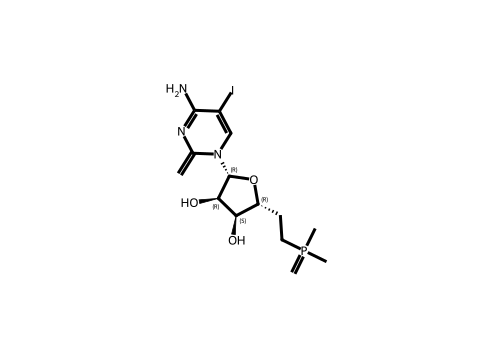 C=C1N=C(N)C(I)=CN1[C@@H]1O[C@H](CCP(=C)(C)C)[C@@H](O)[C@H]1O